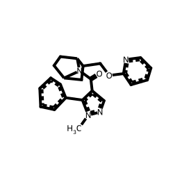 Cn1ncc(C(=O)N2C3CCC2C(COc2ccccn2)C3)c1-c1ccccc1